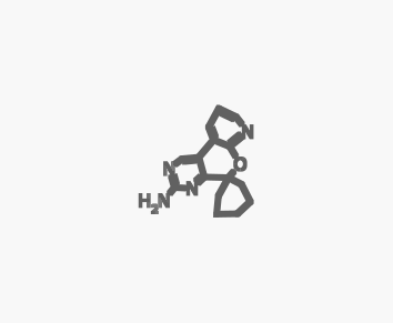 Nc1ncc2c(n1)C1(CCCCC1)Oc1ncccc1-2